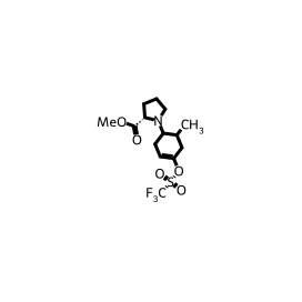 COC(=O)[C@@H]1CCCN1C1CC=C(OS(=O)(=O)C(F)(F)F)CC1C